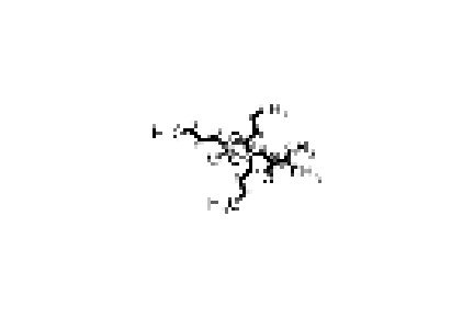 CCCCS(CCCC)(CC(=O)C(C)C)OS(=O)(=O)CCCC